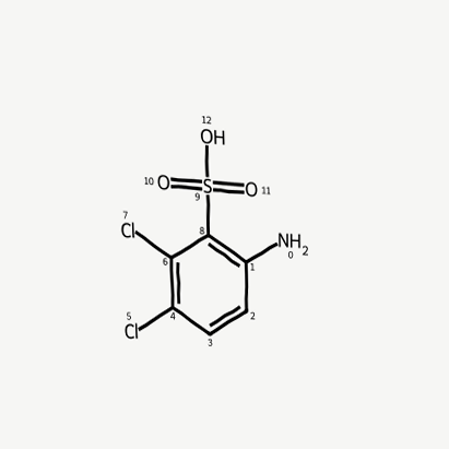 Nc1ccc(Cl)c(Cl)c1S(=O)(=O)O